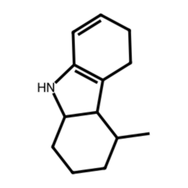 CC1CCCC2NC3=C(CCC=C3)C12